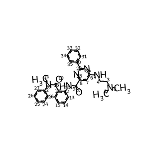 CN(C)CCNc1cc(C(=O)Nc2ccccc2C(=O)N(C)c2ccccc2)nc(-c2ccccc2)n1